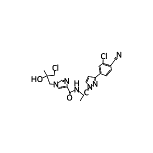 CC(Cn1ccc(-c2ccc(C#N)c(Cl)c2)n1)NC(=O)c1cn(CC(C)(O)CCl)cn1